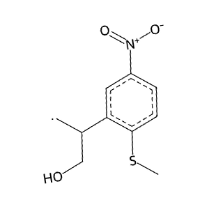 [CH2]C(CO)c1cc([N+](=O)[O-])ccc1SC